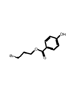 CC[C@H](C)CCCOC(=O)c1ccc(O)cc1